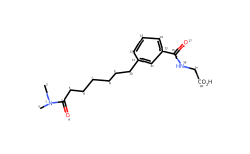 CN(C)C(=O)CCCCCCc1cccc(C(=O)NCC(=O)O)c1